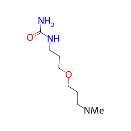 CNCCCOCCCNC(N)=O